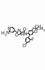 CC1(C)Cc2cc(NC(=O)c3coc(-c4ccnc(N)c4)n3)c(-c3ccc(Cl)cc3F)cc2O1